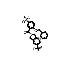 CS(=O)(=O)c1ccc(OCc2ccccc2)c(C(=O)N2Cc3cc(C(F)(F)F)cnc3C2)c1